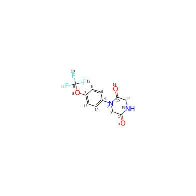 O=C1CN(c2ccc(OC(F)(F)F)cc2)C(=O)CN1